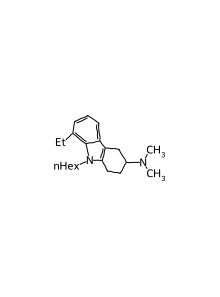 CCCCCCn1c2c(c3cccc(CC)c31)CC(N(C)C)CC2